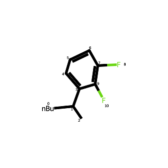 CCCCC(C)c1cccc(F)c1F